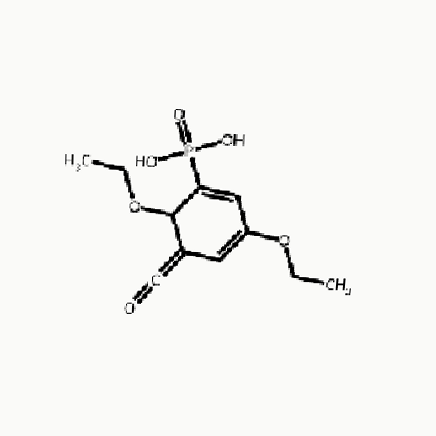 CCOC1=CC(=C=O)C(OCC)C(P(=O)(O)O)=C1